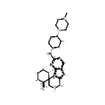 CN1CCN([C@H]2CC[C@@H](Nc3ncc4nc5n(c4n3)C3(CCCCC3=S)CNC5)CC2)CC1